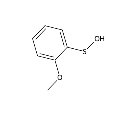 COc1ccccc1SO